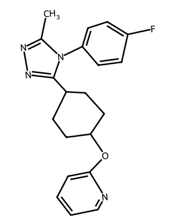 Cc1nnc(C2CCC(Oc3ccccn3)CC2)n1-c1ccc(F)cc1